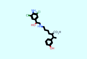 CC(c1cccc(O)c1)C(CCCCNCC(O)c1cc(Cl)c(N)c(Cl)c1)C(=O)O